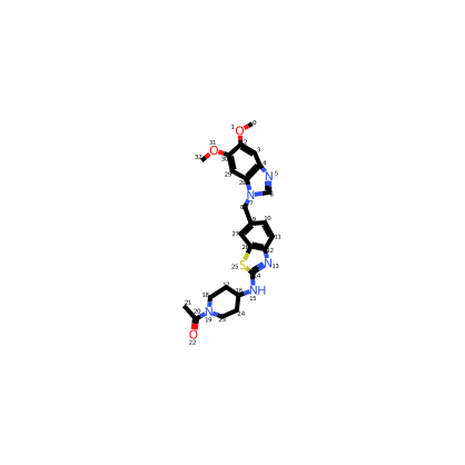 COc1cc2ncn(Cc3ccc4nc(NC5CCN(C(C)=O)CC5)sc4c3)c2cc1OC